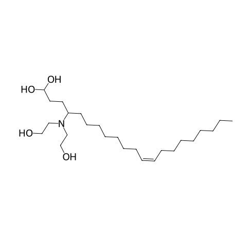 CCCCCCCC/C=C\CCCCCCCC(CCC(O)O)N(CCO)CCO